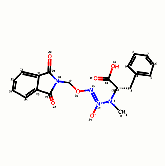 CN([C@@H](Cc1ccccc1)C(=O)O)[N+]([O-])=NOCN1C(=O)c2ccccc2C1=O